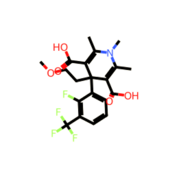 COCCC1(c2cccc(C(F)(F)F)c2F)C(C(=O)O)=C(C)N(C)C(C)=C1C(=O)O